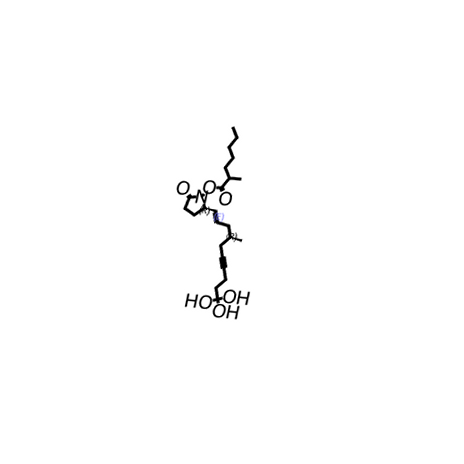 CCCCCC(C)C(=O)ON1C(=O)CC[C@@H]1/C=C/C[C@@H](C)CC#CCCC(O)(O)O